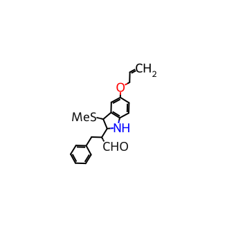 C=CCOc1ccc2c(c1)C(SC)C(C(C=O)Cc1ccccc1)N2